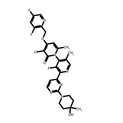 Cc1cnc(-c2ccnc(N3CCC(C)(O)CC3)n2)c(F)c1-n1c(C)cc(OCc2ncc(F)cc2F)c(Cl)c1=O